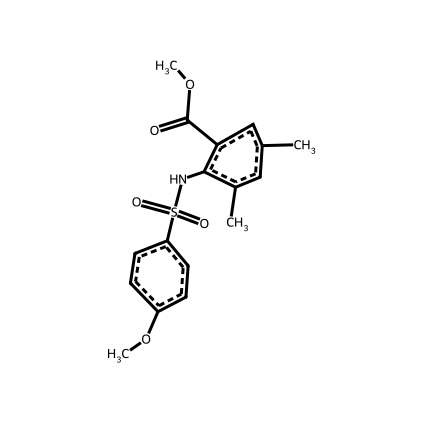 COC(=O)c1cc(C)cc(C)c1NS(=O)(=O)c1ccc(OC)cc1